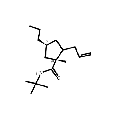 C=CCC1C[C@H](CCC)C[C@@]1(C)C(=O)NC(C)(C)C